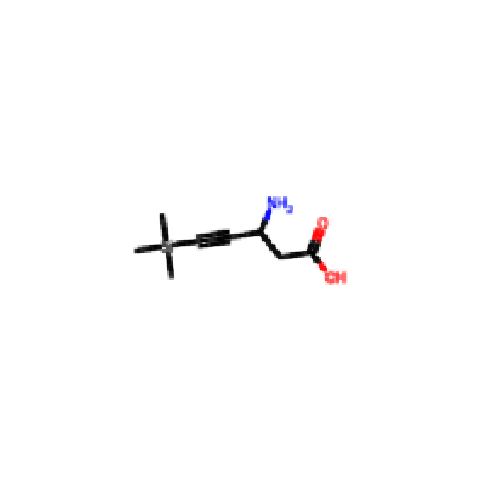 C[Si](C)(C)C#CC(N)CC(=O)O